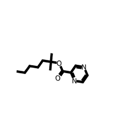 CCCCCC(C)(C)OC(=O)c1cnccn1